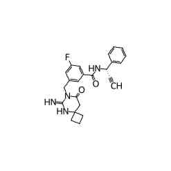 C#C[C@H](NC(=O)c1cc(F)cc(CN2C(=N)NC3(CCC3)CC2=O)c1)c1ccccc1